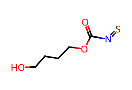 O=C(N=S)OCCCCO